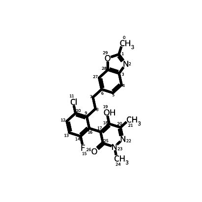 Cc1nc2ccc(CCc3c(Cl)ccc(F)c3-c3c(O)c(C)nn(C)c3=O)cc2o1